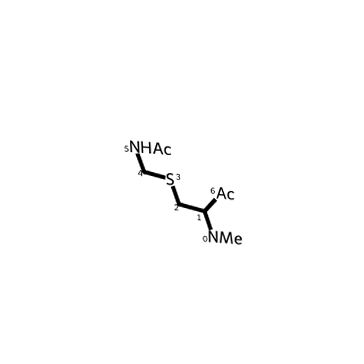 CNC(CSCNC(C)=O)C(C)=O